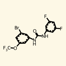 O=C(Nc1cc(F)cc(F)c1)Nc1cc(Br)cc(OC(F)(F)F)c1